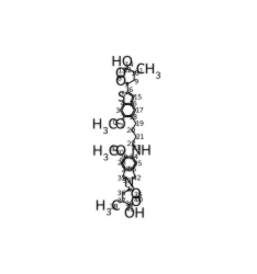 COc1cc2sc(C(=O)CC(C)C(=O)O)cc2cc1CCCCNc1cc2c(cc1OC)CN(C(=O)CC(C)C(=O)O)C2